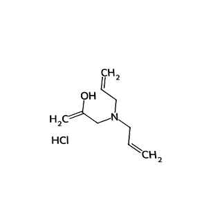 C=CCN(CC=C)CC(=C)O.Cl